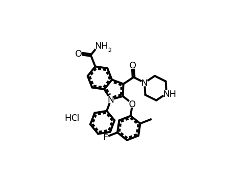 Cc1ccc(F)cc1Oc1c(C(=O)N2CCNCC2)c2cc(C(N)=O)ccc2n1-c1ccccc1.Cl